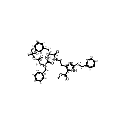 COC(=O)c1[nH]c(SCc2ccccn2)nc1CCNC(=O)[C@H](Cc1ccccc1)NC(=O)N(Cc1ccccc1)NC(=O)OC(C)(C)C